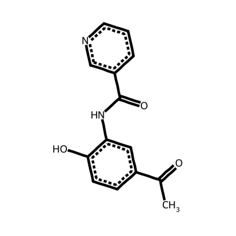 CC(=O)c1ccc(O)c(NC(=O)c2cccnc2)c1